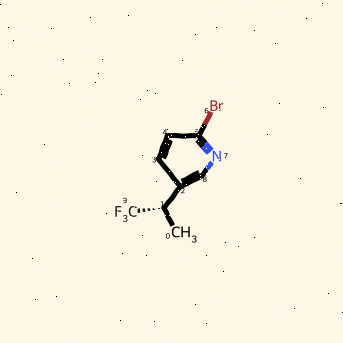 C[C@@H](c1ccc(Br)nc1)C(F)(F)F